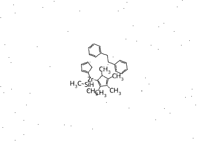 CC1=C(C)C(C)[C]([Zr]([C]2=CC=CC2)[SiH](C)C)=C1C.c1ccc(CCc2ccccc2)cc1